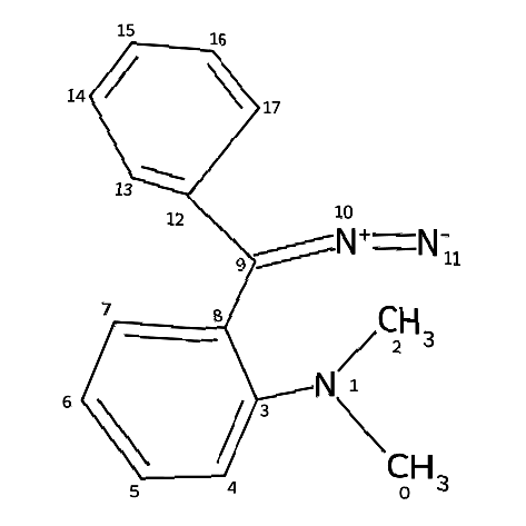 CN(C)c1ccccc1C(=[N+]=[N-])c1ccccc1